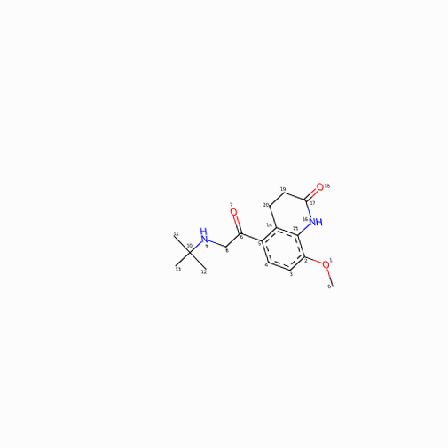 COc1ccc(C(=O)CNC(C)(C)C)c2c1NC(=O)CC2